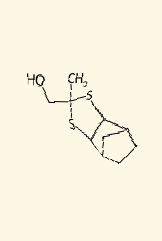 CC1(CO)SC2C3CCC(C3)C2S1